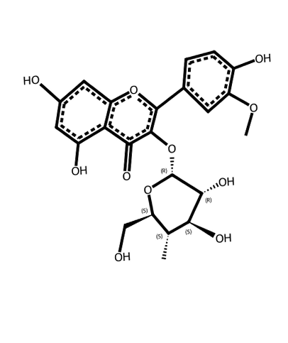 COc1cc(-c2oc3cc(O)cc(O)c3c(=O)c2O[C@H]2O[C@H](CO)[C@@H](C)[C@H](O)[C@H]2O)ccc1O